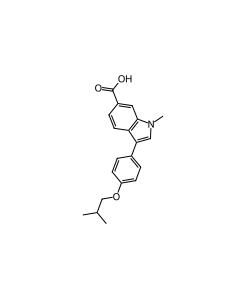 CC(C)COc1ccc(-c2cn(C)c3cc(C(=O)O)ccc23)cc1